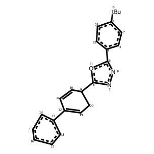 CC(C)(C)c1ccc(-c2nnc(C3C=CC(c4ccccc4)=CC3)o2)cc1